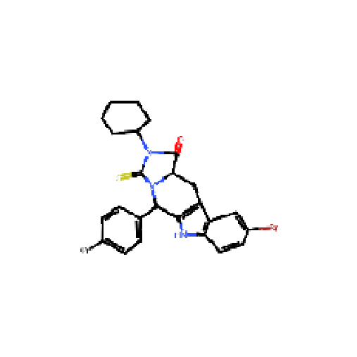 CC(C)c1ccc(C2c3[nH]c4ccc(Br)cc4c3CC3C(=O)N(C4CCCCC4)C(=S)N32)cc1